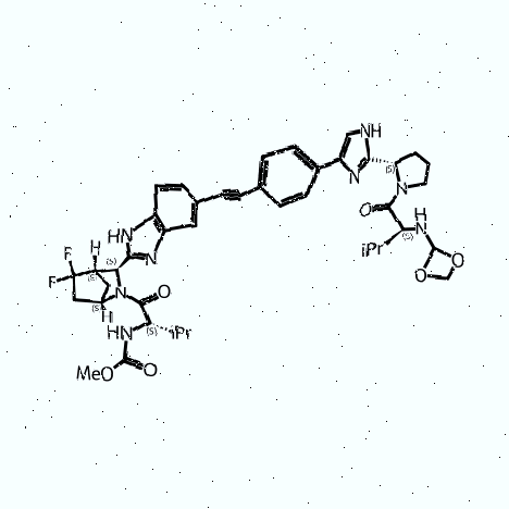 COC(=O)N[C@H](C(=O)N1[C@H]2C[C@@H]([C@H]1c1nc3cc(C#Cc4ccc(-c5c[nH]c([C@@H]6CCCN6C(=O)[C@@H](NC6OCO6)C(C)C)n5)cc4)ccc3[nH]1)C(F)(F)C2)C(C)C